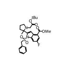 COC(=O)c1cc(F)cc2c1cc(C1(C)CCCN1CC(=O)OC(C)(C)C)n2S(=O)(=O)Cc1ccccc1